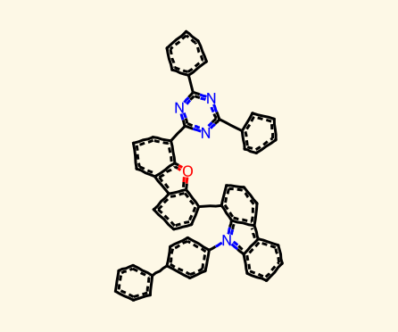 c1ccc(-c2ccc(-n3c4ccccc4c4cccc(-c5cccc6c5oc5c(-c7nc(-c8ccccc8)nc(-c8ccccc8)n7)cccc56)c43)cc2)cc1